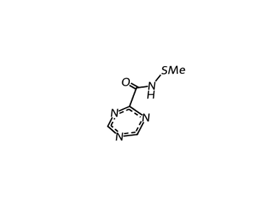 CSNC(=O)c1ncncn1